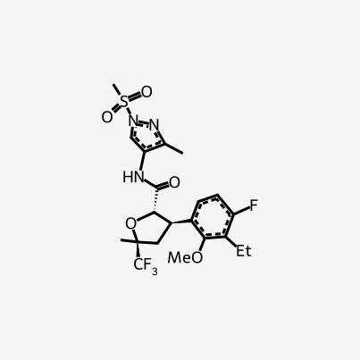 CCc1c(F)ccc([C@H]2C[C@@](C)(C(F)(F)F)O[C@@H]2C(=O)Nc2cn(S(C)(=O)=O)nc2C)c1OC